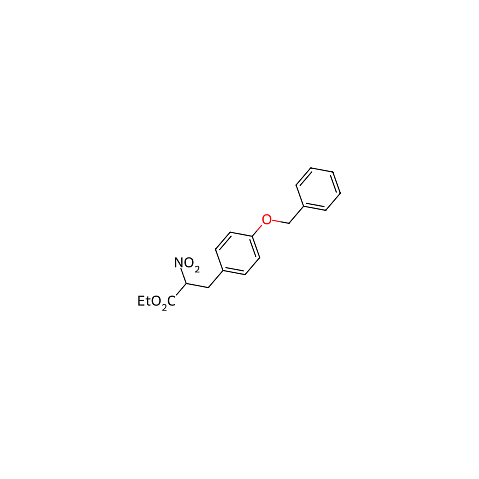 CCOC(=O)C(Cc1ccc(OCc2ccccc2)cc1)[N+](=O)[O-]